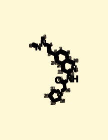 C=NN(C)/C=C/c1ccc2cnc(NC(=O)CN3CCCC3)cc2c1